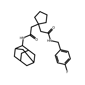 O=C(CC1(CC(=O)NC2C3CC4CC(C3)CC2C4)CCCC1)NCc1ccc(F)cc1